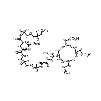 CCCCCC(=O)N[C@H](CCC(=O)N1CC1(C)COCC(C)(C)COC)C(=O)NCC(C)(C)COCC(C)(C)CNC(=O)CCC(C(=O)O)N1CCN(CCO)CCN(CC(=O)O)CCN(CC(=O)O)CC1